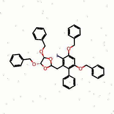 Ic1c(OCc2ccccc2)cc(OCc2ccccc2)c(-c2ccccc2)c1CC1O[C@H](OCc2ccccc2)[C@@H](OCc2ccccc2)O1